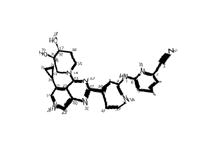 N#Cc1cccc(Nc2cc(-c3nc(N4CC[C@H](O)[C@H](O)C4)c4c(C5CC5)cncc4n3)ccn2)n1